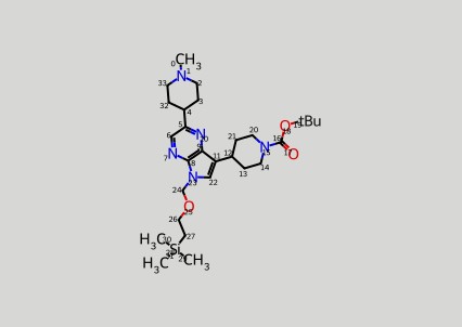 CN1CCC(c2cnc3c(n2)c(C2CCN(C(=O)OC(C)(C)C)CC2)cn3COCC[Si](C)(C)C)CC1